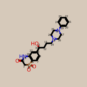 O=C1CS(=O)(=O)c2ccc(C(O)CCCN3CCN(c4ccccc4)CC3)cc2N1